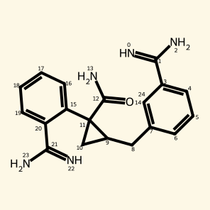 N=C(N)c1cccc(CC2CC2(C(N)=O)c2ccccc2C(=N)N)c1